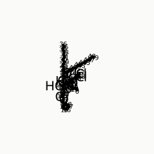 C=CCO[C@H]1O[C@H](COC(=O)OCc2ccccc2)[C@@H](O)[C@H](OCC[C@@H](CCCCCCCCCCC)OCCCCCCCCCCCC)[C@H]1NC(=O)OCC(Cl)(Cl)Cl